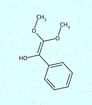 COC(OC)=C(O)c1ccccc1